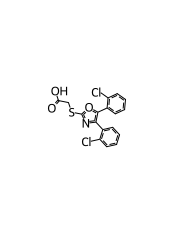 O=C(O)CSc1nc(-c2ccccc2Cl)c(-c2ccccc2Cl)o1